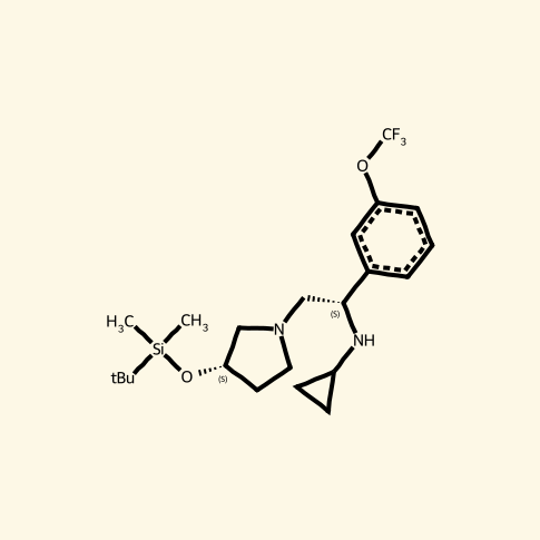 CC(C)(C)[Si](C)(C)O[C@H]1CCN(C[C@@H](NC2CC2)c2cccc(OC(F)(F)F)c2)C1